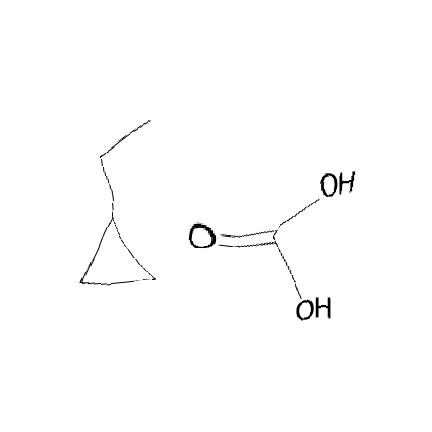 CCC1CC1.O=C(O)O